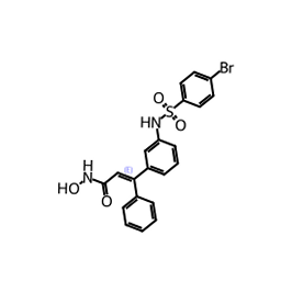 O=C(/C=C(\c1ccccc1)c1cccc(NS(=O)(=O)c2ccc(Br)cc2)c1)NO